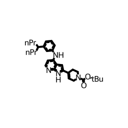 CCCC(CCC)c1cccc(Nc2ccnc3[nH]c(C4=CCN(C(=O)OC(C)(C)C)CC4)cc23)c1